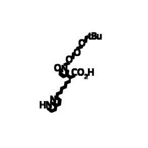 CC(C)(C)CCOCCOCCOCCn1cc([C@H](CCCCCCc2ccc3c(n2)NCCC3)CC(=O)O)ccc1=O